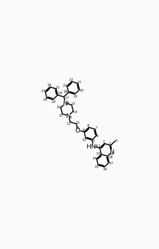 Cc1cc(Nc2cccc(OCCN3CCN(C(c4ccccc4)c4ccccc4)CC3)c2)c2ccccc2n1